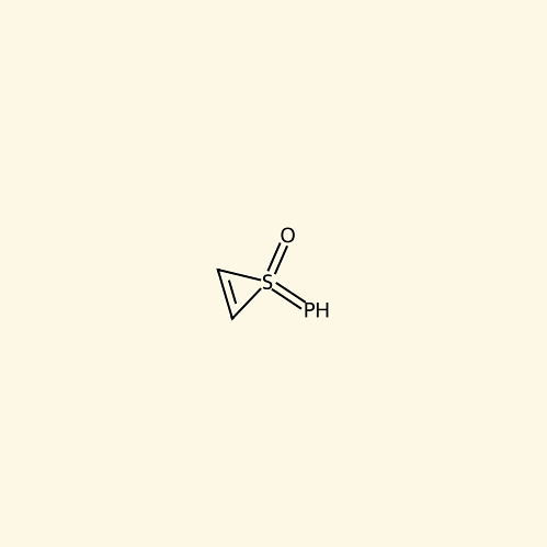 O=S1(=P)C=C1